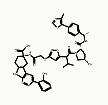 Cc1ncsc1-c1ccc([C@H](C)NC(=O)[C@@H]2C[C@@H](O)CN2C(=O)C(c2cc(OCC(=O)N[C@]3(C(=O)O)CCC4Nc5nnc(-c6ccccc6O)cc5C4C3)no2)C(C)C)cc1